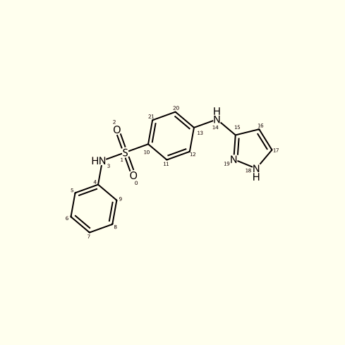 O=S(=O)(Nc1ccccc1)c1ccc(Nc2cc[nH]n2)cc1